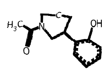 CC(=O)N1CCCC(c2ccccc2O)C1